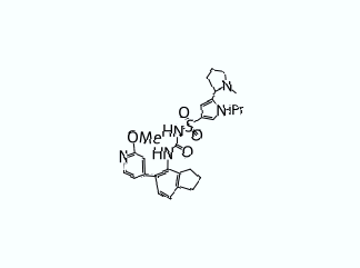 COc1cc(-c2ccc3c(c2NC(=O)NS(=O)(=O)c2cc(C4CCCN4C)n(C(C)C)c2)CCC3)ccn1